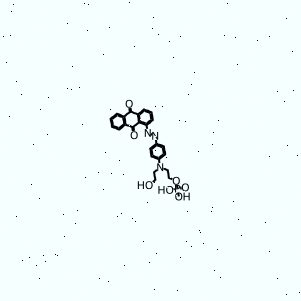 O=C1c2ccccc2C(=O)c2c(/N=N/c3ccc(N(CCO)CCOP(=O)(O)O)cc3)cccc21